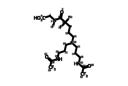 O=C(O)CN(F)C(=O)C(F)(F)CCCN(CCCNC(=O)C(F)(F)F)CCCNC(=O)C(F)(F)F